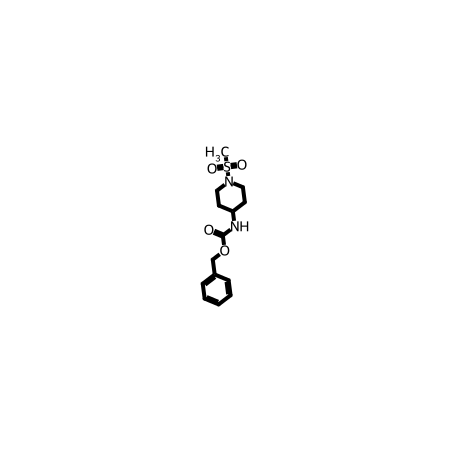 CS(=O)(=O)N1CCC(NC(=O)OCc2ccccc2)CC1